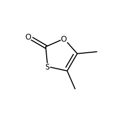 Cc1oc(=O)sc1C